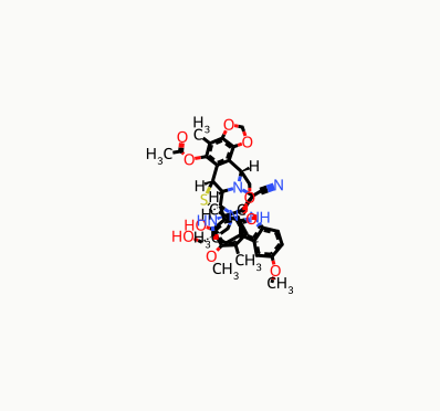 CCN1CC2(C#N)Cc3cc(C)c(OC)c(O)c3[C@H]1[C@@H]1[C@@H]3SC[C@]4(N[C@@H](CO)Cc5c4[nH]c4ccc(OC)cc54)C(=O)OC[C@@H](c4c5c(c(C)c(OC(C)=O)c43)OCO5)N12